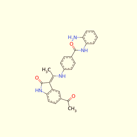 CC(=O)c1ccc2c(c1)C(=C(C)Nc1ccc(C(=O)Nc3ccccc3N)cc1)C(=O)N2